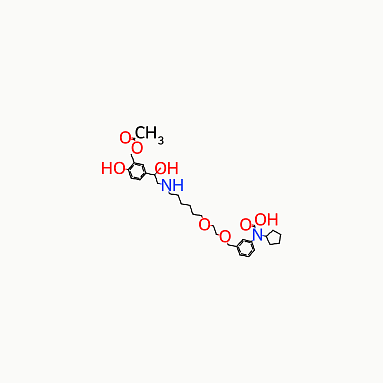 CC(=O)OCc1cc([C@@H](O)CNCCCCCCOCCOCc2cccc(N(C(=O)O)C3CCCC3)c2)ccc1O